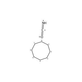 C1CCCCCCC1.N=C=O